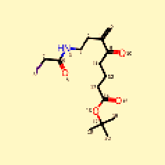 C=C(CCNC(=O)CI)C(=O)CCCC(=O)OC(C)(C)C